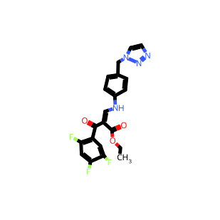 CCOC(=O)C(=CNc1ccc(Cn2ccnn2)cc1)C(=O)c1cc(F)c(F)cc1F